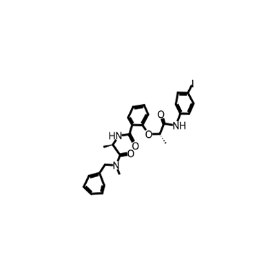 C[C@H](Oc1ccccc1C(=O)N[C@H](C)C(=O)N(C)Cc1ccccc1)C(=O)Nc1ccc(I)cc1